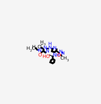 C=CCN1C(=O)c2cnc(Nc3cc(N[C@H](CO)c4ccccc4)c(-c4nnc(C)o4)cn3)nc2C1(C)C